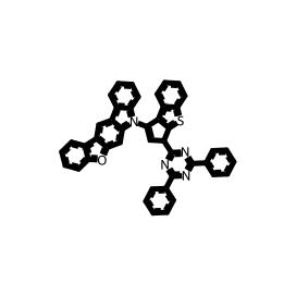 C1=C(n2c3ccccc3c3cc4c(cc32)oc2ccccc24)c2c(sc3ccccc23)C1c1nc(-c2ccccc2)nc(-c2ccccc2)n1